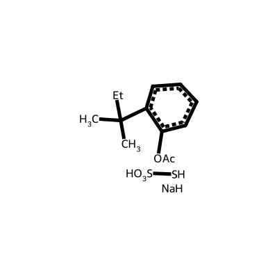 CCC(C)(C)c1ccccc1OC(C)=O.O=S(=O)(O)S.[NaH]